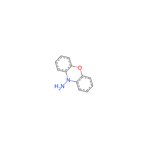 NN1c2ccccc2Oc2ccccc21